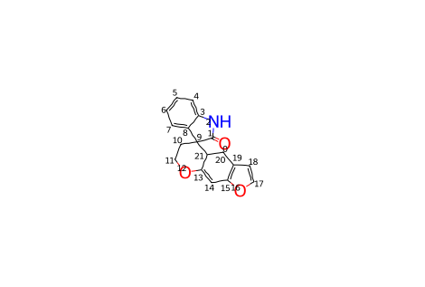 O=C1Nc2ccccc2C12CCOC1=Cc3occc3CC12